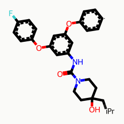 CC(C)CC1(O)CCN(C(=O)Nc2cc(Oc3cc[c]cc3)cc(Oc3ccc(F)cc3)c2)CC1